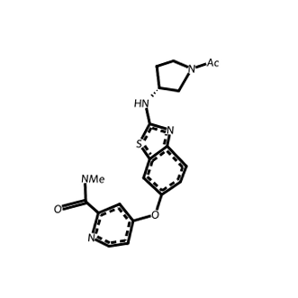 CNC(=O)c1cc(Oc2ccc3nc(N[C@@H]4CCN(C(C)=O)C4)sc3c2)ccn1